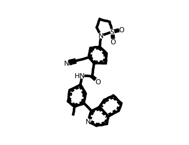 Cc1ccc(NC(=O)c2ccc(N3CCCS3(=O)=O)cc2C#N)cc1-c1nccc2ccccc12